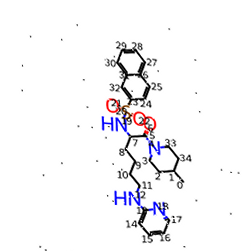 CC1CCN(C(=O)C(CCCCNc2ccccn2)NS(=O)(=O)c2ccc3ccccc3c2)CC1